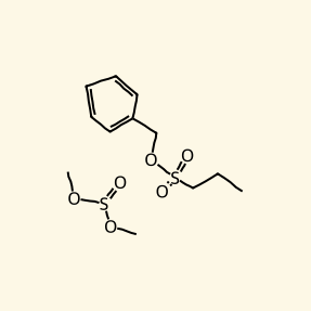 CCCS(=O)(=O)OCc1ccccc1.COS(=O)OC